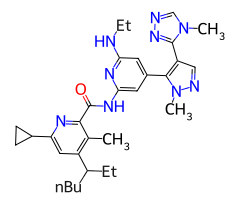 CCCCC(CC)c1cc(C2CC2)nc(C(=O)Nc2cc(-c3c(-c4nncn4C)cnn3C)cc(NCC)n2)c1C